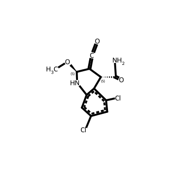 CO[C@@H]1Nc2cc(Cl)cc(Cl)c2[C@@H](C(N)=O)C1=C=O